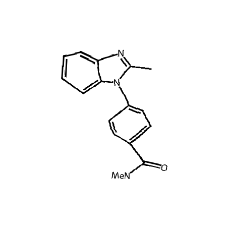 CNC(=O)c1ccc(-n2c(C)nc3ccccc32)cc1